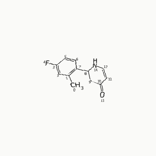 Cc1cc(F)ccc1C1CC(=O)C=CN1